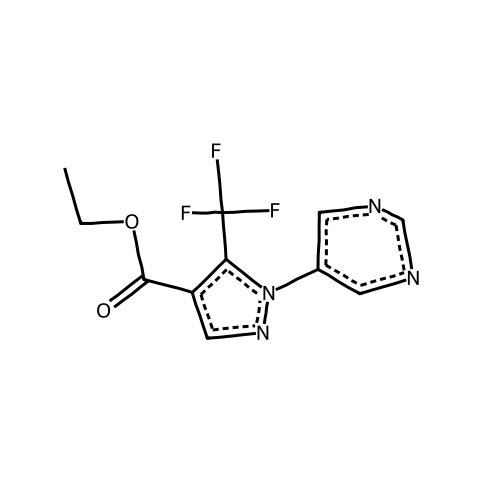 CCOC(=O)c1cnn(-c2cncnc2)c1C(F)(F)F